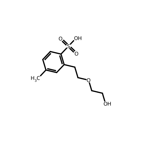 Cc1ccc(S(=O)(=O)O)c(CCOCCO)c1